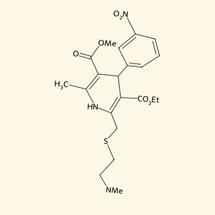 CCOC(=O)C1=C(CSCCNC)NC(C)=C(C(=O)OC)C1c1cccc([N+](=O)[O-])c1